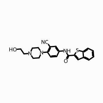 N#Cc1cc(NC(=O)c2cc3ccccc3s2)ccc1N1CCN(CCO)CC1